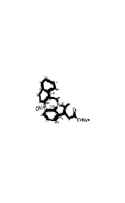 COC(=O)Cc1c(C)n(Cc2c(OC)ccc3ccccc23)c2ccccc12